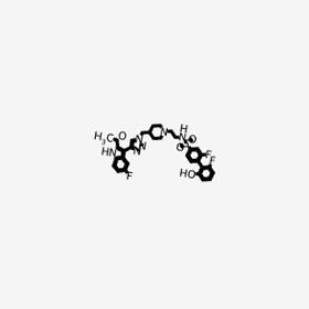 CC(=O)c1[nH]c2ccc(F)cc2c1-c1cn(CC2CCN(CCNS(=O)(=O)c3ccc(-c4c(O)cccc4F)c(F)c3)CC2)nn1